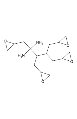 NC(N)(CC1CO1)C(CC1CO1)C(CC1CO1)CC1CO1